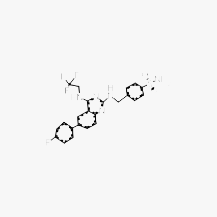 NS(=O)(=O)c1ccc(CNc2nc(NCC(F)(F)F)c3cc(-c4ccc(F)cc4)ccc3n2)cc1